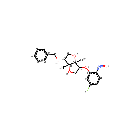 O=Nc1ccc(F)cc1O[C@H]1CO[C@H]2[C@@H]1OC[C@H]2OCc1ccccc1